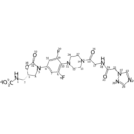 O=C(O)NC[C@H]1CN(c2cc(F)c(N3CCN(C(=O)CNC(=O)Cn4cncn4)CC3)c(F)c2)C(=O)O1